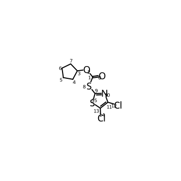 O=C(OC1CCCC1)Sc1nc(Cl)c(Cl)s1